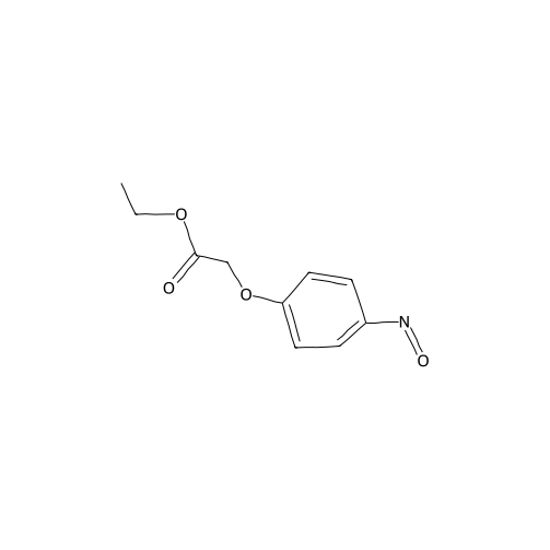 CCOC(=O)COc1ccc(N=O)cc1